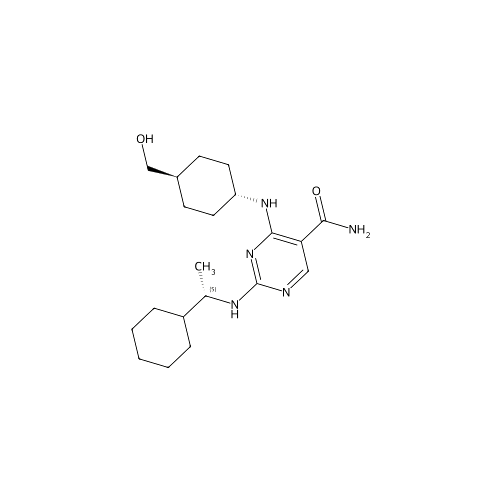 C[C@H](Nc1ncc(C(N)=O)c(N[C@H]2CC[C@H](CO)CC2)n1)C1CCCCC1